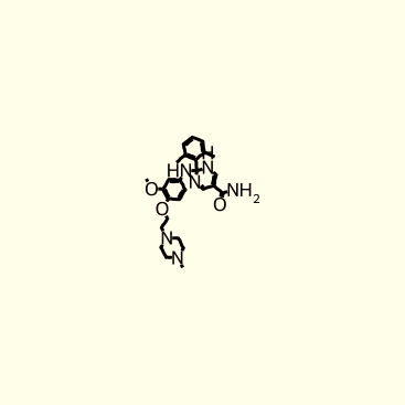 COc1cc(NC2(c3c(C)cccc3C)N=CC(C(N)=O)=CN2)ccc1OCCN1CCN(C)CC1